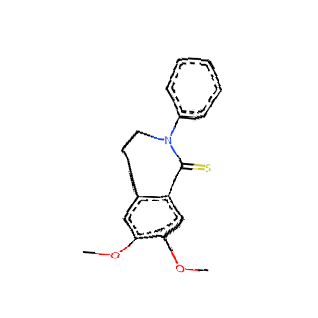 COc1cc2c(cc1OC)C(=S)N(c1ccccc1)CC2